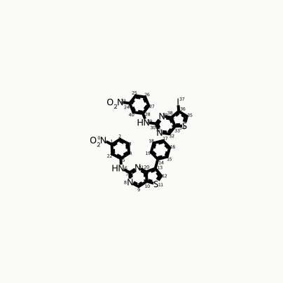 O=[N+]([O-])c1cccc(Nc2ncc3scc(-c4ccccc4)c3n2)c1.O=[N+]([O-])c1cccc(Nc2ncc3scc(I)c3n2)c1